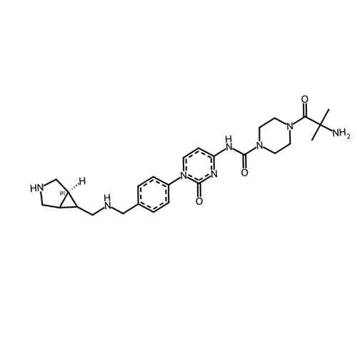 CC(C)(N)C(=O)N1CCN(C(=O)Nc2ccn(-c3ccc(CNCC4C5CNC[C@@H]45)cc3)c(=O)n2)CC1